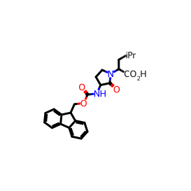 CC(C)CC(C(=O)O)N1CCC(NC(=O)OCC2c3ccccc3-c3ccccc32)C1=O